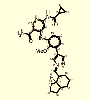 COc1c(Nc2cc(NC(=O)C3CC3)nnc2C(N)=O)cccc1C1=C/[N+](=C/C2CCCC3CCO[C@@H]23)N=C1